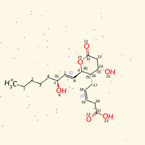 CCCCC[C@H](O)/C=C/[C@H]1OC(=O)C[C@H](O)[C@@H]1C/C=C\CC(=O)O